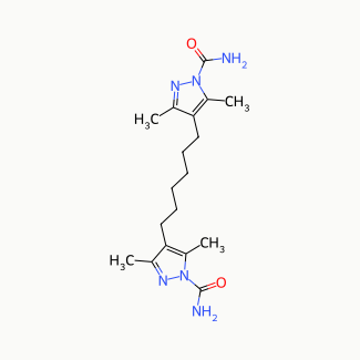 Cc1nn(C(N)=O)c(C)c1CCCCCCc1c(C)nn(C(N)=O)c1C